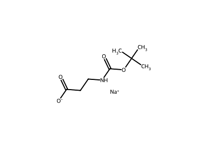 CC(C)(C)OC(=O)NCCC(=O)[O-].[Na+]